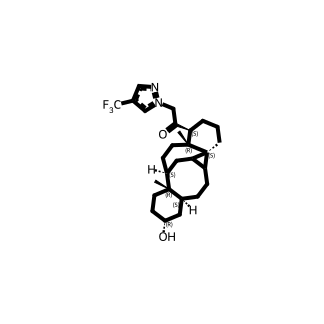 C[C@]12CC[C@@H](O)C[C@@H]1CCC1C3C[C@@H]2CC[C@]2(C)[C@@H](C(=O)Cn4cc(C(F)(F)F)cn4)CCC[C@]132